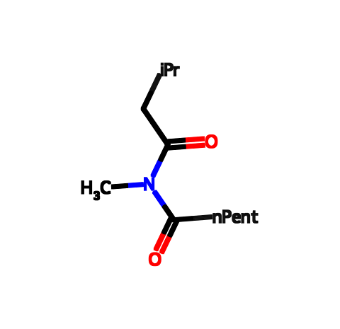 CCCCCC(=O)N(C)C(=O)CC(C)C